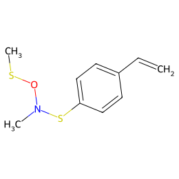 C=Cc1ccc(SN(C)OSC)cc1